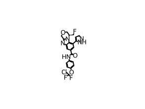 O=C(Nc1ccc(OC(F)(F)Cl)cc1)c1cc(-c2ccn[nH]2)c2c(c1)nc1n2[C@H](CF)COC1